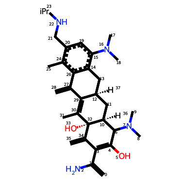 C=C(N)C1=C(O)C(N(C)C)[C@@H]2C[C@@H]3Cc4c(N(C)C)cc(CNC(C)C)c(C)c4C(=C)C3=C(C)[C@]2(O)C1=C